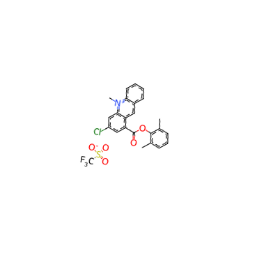 Cc1cccc(C)c1OC(=O)c1cc(Cl)cc2c1cc1ccccc1[n+]2C.O=S(=O)([O-])C(F)(F)F